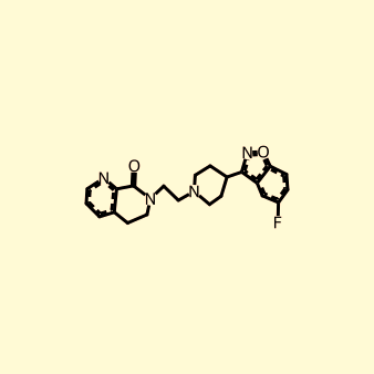 O=C1c2ncccc2CCN1CCN1CCC(c2noc3ccc(F)cc23)CC1